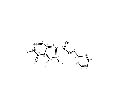 Cn1ncc2cc(C(=O)OCc3ccccc3)c(F)c(F)c2c1=O